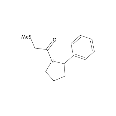 CSCC(=O)N1CCCC1c1ccccc1